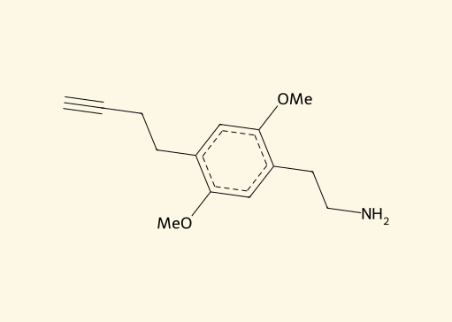 C#CCCc1cc(OC)c(CCN)cc1OC